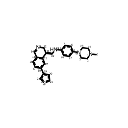 CN1CCN(c2ccc(NC=C3CN=Cc4ccc(-c5ccsc5)cc43)cc2)CC1